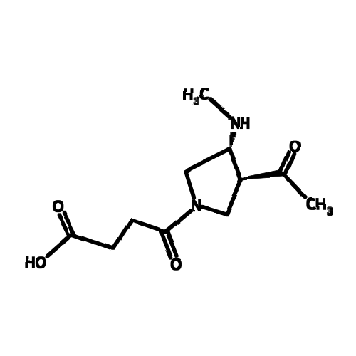 CN[C@H]1CN(C(=O)CCC(=O)O)C[C@@H]1C(C)=O